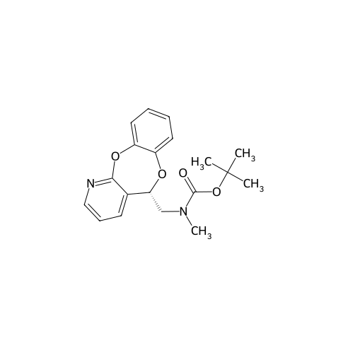 CN(C[C@H]1Oc2ccccc2Oc2ncccc21)C(=O)OC(C)(C)C